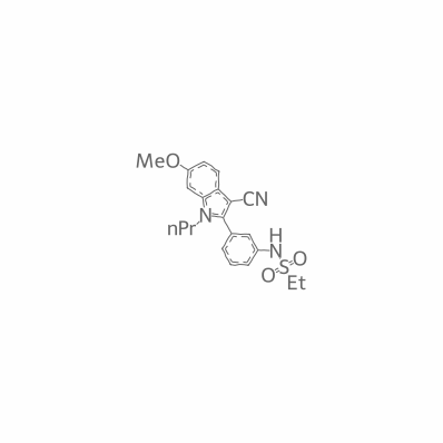 CCCn1c(-c2cccc(NS(=O)(=O)CC)c2)c(C#N)c2ccc(OC)cc21